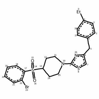 CCc1ccc(Cc2csc(N3CCC(S(=O)(=O)c4ccccc4Br)CC3)n2)cc1